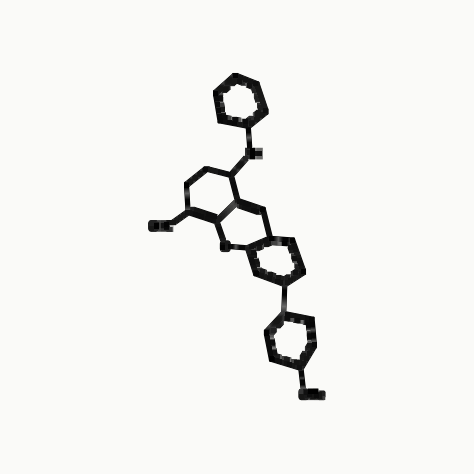 COc1ccc(-c2ccc3c(c2)OC2=C(C=O)CCC(Nc4ccccc4)C2=C3)cc1